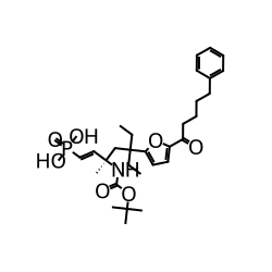 CCC(CC)(C[C@](C)(C=CP(=O)(O)O)NC(=O)OC(C)(C)C)c1ccc(C(=O)CCCCc2ccccc2)o1